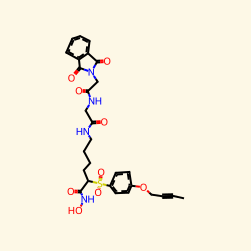 CC#CCOc1ccc(S(=O)(=O)C(CCCCNC(=O)CNC(=O)CN2C(=O)c3ccccc3C2=O)C(=O)NO)cc1